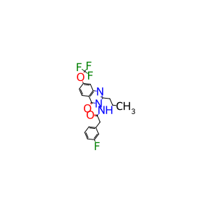 CCCc1nc2cc(OC(F)(F)F)ccc2c(=O)n1NC(=O)Cc1cccc(F)c1